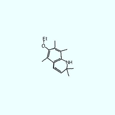 CCOc1c(C)c(C)c2c(c1C)C=CC(C)(C)N2